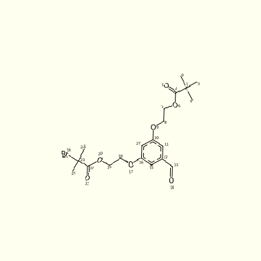 CC(C)(C)C(=O)OCCOc1cc(C=O)cc(OCCOC(=O)C(C)(C)Br)c1